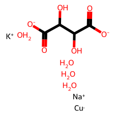 O.O.O.O.O=C([O-])C(O)C(O)C(=O)[O-].[Cu].[K+].[Na+]